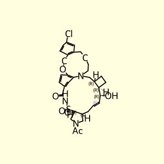 CC(=O)N1C[C@@H]2C/C=C/[C@H](O)[C@@H]3CC[C@H]3CN3CCCCc4cc(Cl)ccc4COc4ccc(cc43)C(=O)NS(=O)(=O)[C@H]2C1